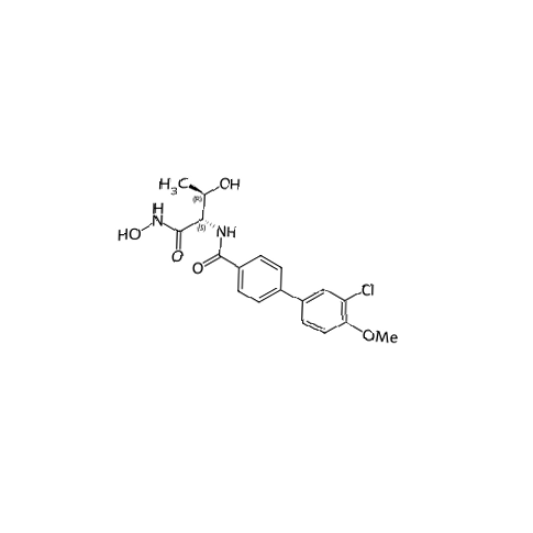 COc1ccc(-c2ccc(C(=O)N[C@H](C(=O)NO)[C@@H](C)O)cc2)cc1Cl